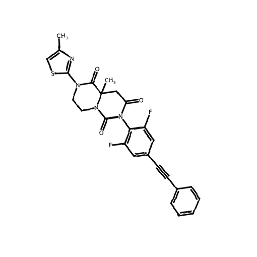 Cc1csc(N2CCN3C(=O)N(c4c(F)cc(C#Cc5ccccc5)cc4F)C(=O)CC3(C)C2=O)n1